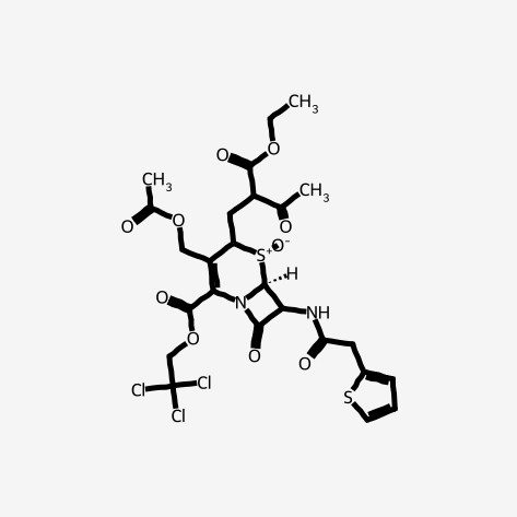 CCOC(=O)C(CC1C(COC(C)=O)=C(C(=O)OCC(Cl)(Cl)Cl)N2C(=O)C(NC(=O)Cc3cccs3)[C@@H]2[S+]1[O-])C(C)=O